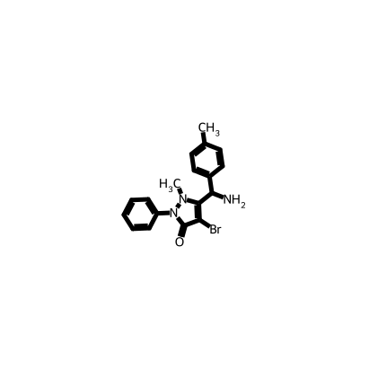 Cc1ccc(C(N)c2c(Br)c(=O)n(-c3ccccc3)n2C)cc1